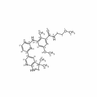 COCCNC(=O)c1cc(OC)cc(Nc2nccc(-c3cnc4c(c3)C(C)(C)CN4)n2)c1C